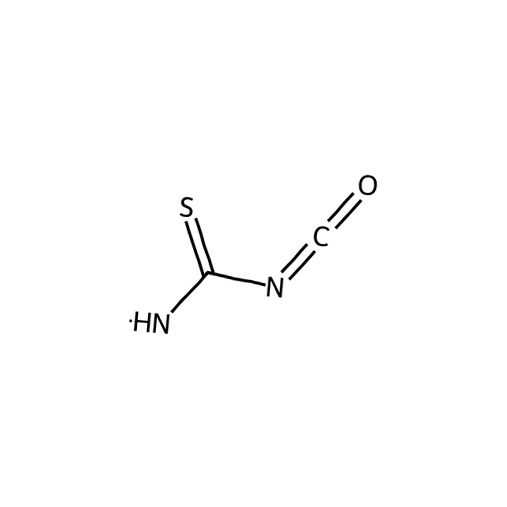 [NH]C(=S)N=C=O